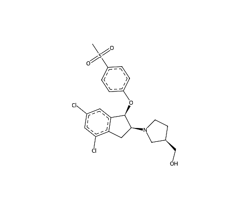 CS(=O)(=O)c1ccc(O[C@@H]2c3cc(Cl)cc(Cl)c3C[C@@H]2N2CC[C@@H](CO)C2)cc1